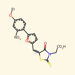 CCOc1ccc(-c2ccc(/C=C3/SC(=S)N(CC(=O)O)C3=O)o2)c([N+](=O)[O-])c1